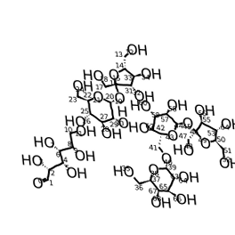 O=C[C@H](O)[C@@H](O)[C@H](O)[C@H](O)CO.OC[C@H]1O[C@@](CO)(O[C@H]2O[C@H](CO)[C@@H](O)[C@H](O)[C@H]2O)[C@@H](O)[C@@H]1O.OC[C@H]1O[C@H](OC[C@H]2O[C@H](O[C@]3(CO)O[C@H](CO)[C@@H](O)[C@@H]3O)[C@H](O)[C@@H](O)[C@@H]2O)[C@H](O)[C@@H](O)[C@H]1O